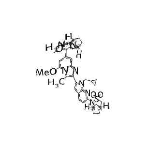 COc1cc(C(=O)N2[C@H]3CC[C@@H]2[C@H](N)C3)cc2nc(-c3cc4ccc(N5[C@@H]6CC[C@@H](C6)CS5(=O)=O)nc4n3CC3CC3)c(C)n12